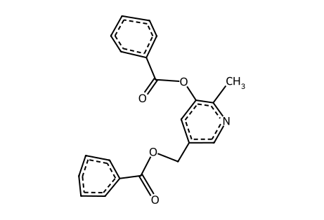 Cc1ncc(COC(=O)c2ccccc2)cc1OC(=O)c1ccccc1